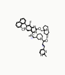 Cc1nccc(/C=C/C(=O)N2CCCC(/C=[N+](/C)c3nc(OC[C@@]45CCCN4C[C@H](F)C5)nc4c(F)c(-c5cccc6cccc(Cl)c56)ncc34)C2)n1